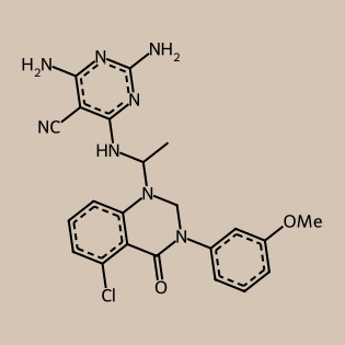 COc1cccc(N2CN(C(C)Nc3nc(N)nc(N)c3C#N)c3cccc(Cl)c3C2=O)c1